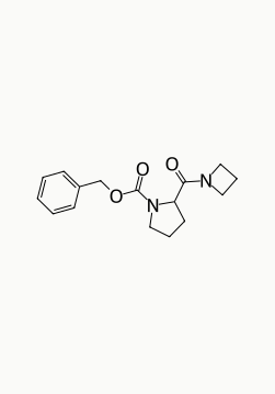 O=C(C1CCCN1C(=O)OCc1ccccc1)N1CCC1